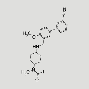 COc1ccc(-c2cccc(C#N)c2)cc1CN[C@H]1CC[C@H](N(C)C(=O)I)CC1